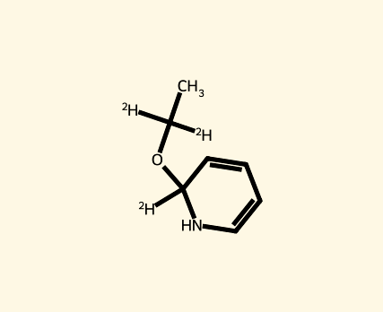 [2H]C([2H])(C)OC1([2H])C=CC=CN1